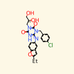 CCc1cc2cc(/N=c3\[nH]c(=O)n(C[C@H](O)CO)c(=O)n3Cc3ccc(Cl)cc3)ccc2o1